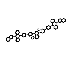 C1=CC2=C(c3ccc(C4=CC5Oc6cc7c8c(cccc8c6C5C=C4)Oc4cc(-c5ccc(-c6c8ccccc8c(-c8ccc9ccccc9c8)c8ccccc68)cc5)ccc4-7)cc3)c3ccccc3C(c3ccc4ccccc4c3)C2C=C1